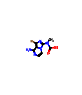 CN(C(=O)O)c1nc(Br)c2c(N)nccn12